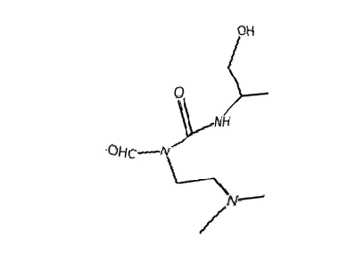 CC(CO)NC(=O)N([C]=O)CCN(C)C